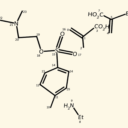 C=C(C)C(=O)O.C=C(CC)C(=O)O.CCN.Cc1ccc(S(=O)(=O)OCCN(C)C)cc1